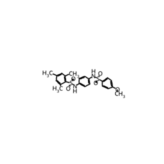 COc1ccc(S(=O)(=O)Nc2ccc(NS(=O)(=O)c3c(C)cc(C)cc3C)cc2)cc1